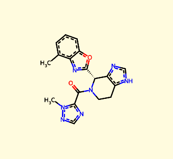 Cc1cccc2oc([C@@H]3c4nc[nH]c4CCN3C(=O)c3ncnn3C)nc12